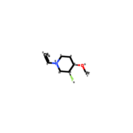 C=CN1CC[C@H](OC(C)C)[C@H](F)C1